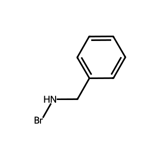 BrNCc1ccccc1